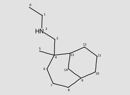 CCNCC1(C)CCCC2CCCC1C2